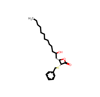 CCCCCCCCCCCC(O)C[C@@H]1OC(=O)[C@@H]1SCc1ccccc1